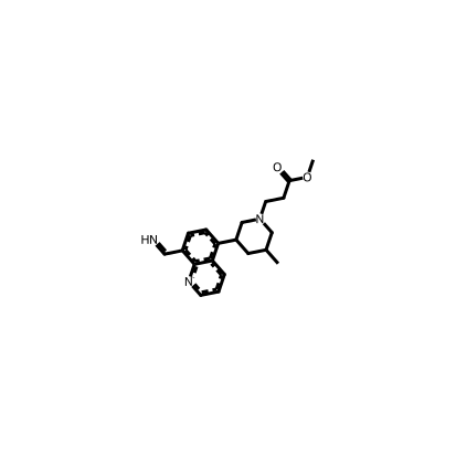 COC(=O)CCN1CC(C)CC(c2ccc(C=N)c3ncccc23)C1